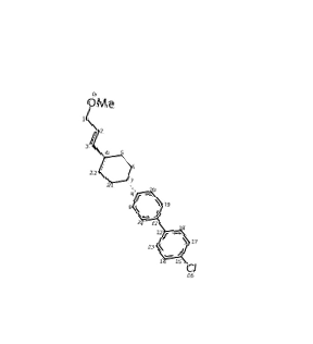 COCC=C[C@H]1CC[C@H](c2ccc(-c3ccc(Cl)cc3)cc2)CC1